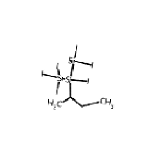 CCC(C)[Si](I)([Si](I)(I)I)[Si](I)(I)I